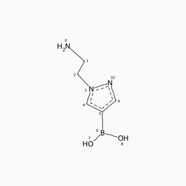 NCCn1cc(B(O)O)cn1